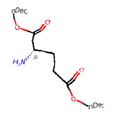 CCCCCCCCCCOC(=O)CC[C@H](N)C(=O)OCCCCCCCCCC